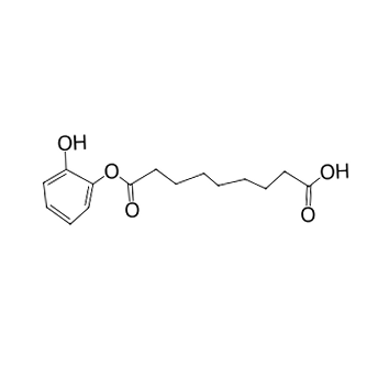 O=C(O)CCCCCCCC(=O)Oc1ccccc1O